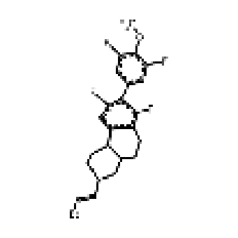 CCC=CC1CCC2c3cc(F)c(-c4cc(F)c(OC(F)(F)F)c(F)c4)c(F)c3CCC2C1